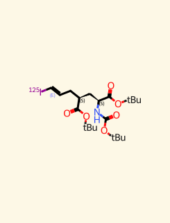 CC(C)(C)OC(=O)N[C@@H](C[C@H](C/C=C/[125I])C(=O)OC(C)(C)C)C(=O)OC(C)(C)C